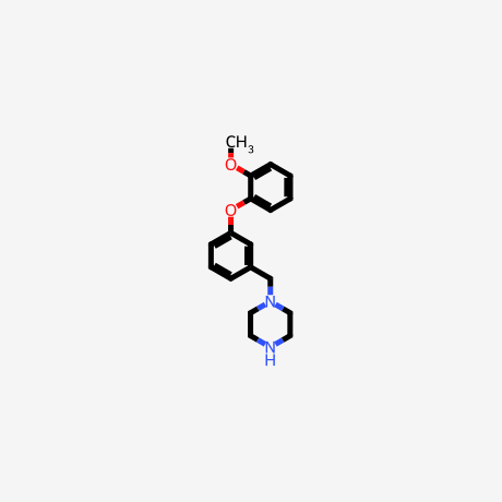 COc1ccccc1Oc1cccc(CN2CCNCC2)c1